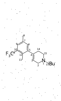 CCC(C)N1CC=C(c2cc(C)cc(C(F)(F)F)c2C)CC1